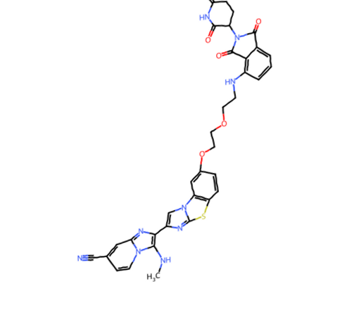 CNc1c(-c2cn3c(n2)sc2ccc(OCCOCCNc4cccc5c4C(=O)N(C4CCC(=O)NC4=O)C5=O)cc23)nc2cc(C#N)ccn12